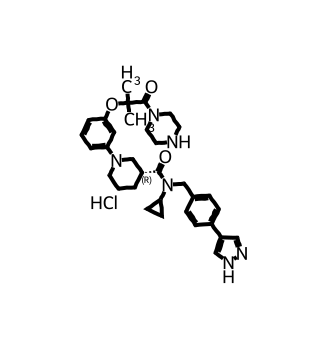 CC(C)(Oc1cccc(N2CCC[C@@H](C(=O)N(Cc3ccc(-c4cn[nH]c4)cc3)C3CC3)C2)c1)C(=O)N1CCNCC1.Cl